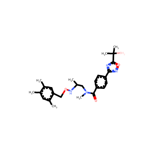 BC(C)(C)c1nc(-c2ccc(C(=O)N(C)CC(C)NOCc3cc(C)c(C)cc3C)cc2)no1